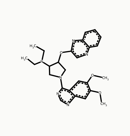 CCN(CC)C1CN(c2ncnc3cc(OC)c(OC)cc23)CC1Oc1cnc2ccccc2n1